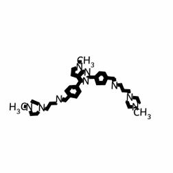 CN1CCN(CCCN=Cc2ccc(-c3nc(-c4ccc(C=NCCCN5CCN(C)CC5)cc4)c4ccn(C)c4n3)cc2)CC1